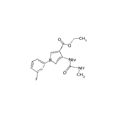 CCOC(=O)c1cn(-c2cccc(F)c2)cc1NC(=O)NC